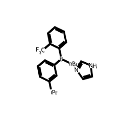 CCCCB(c1cccc(C(C)C)c1)c1ccccc1C(F)(F)F.c1c[nH]cn1